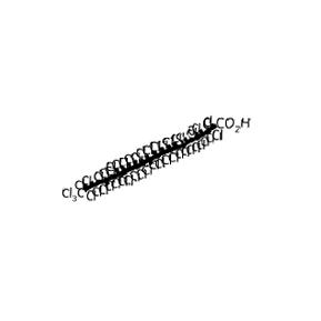 O=C(O)C(Cl)(Cl)C(Cl)(Cl)C(Cl)(Cl)C(Cl)(Cl)C(Cl)(Cl)C(Cl)(Cl)C(Cl)(Cl)C(Cl)(Cl)C(Cl)(Cl)C(Cl)(Cl)C(Cl)(Cl)C(Cl)(Cl)C(Cl)(Cl)C(Cl)(Cl)C(Cl)(Cl)C(Cl)(Cl)C(Cl)(Cl)C(Cl)(Cl)C(Cl)(Cl)C(Cl)(Cl)C(Cl)(Cl)C(Cl)(Cl)C(Cl)(Cl)Cl